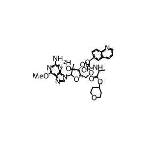 COc1nc(N)nc2c1ncn2C1O[C@H](COP(=O)(NC(C)C(=O)OC2CCOCC2)Oc2ccc3ncccc3c2)[C@@H](O)[C@@]1(C)O